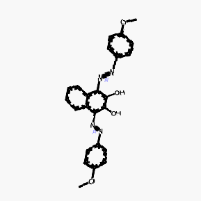 COc1ccc(/N=N/c2c(O)c(O)c(/N=N/c3ccc(OC)cc3)c3ccccc23)cc1